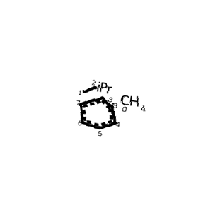 C.CC(C)C.[c]1ccccc1